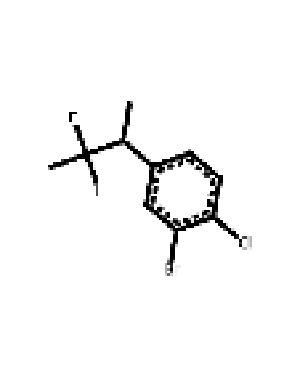 CC(c1ccc(Cl)c(Br)c1)C(C)(F)F